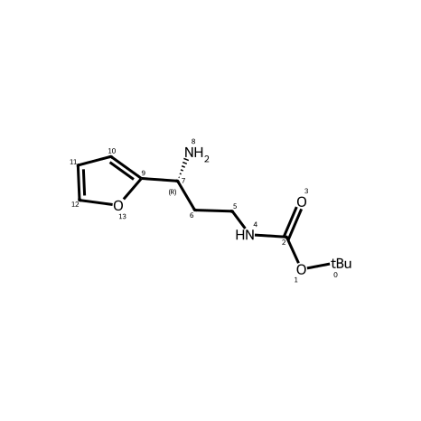 CC(C)(C)OC(=O)NCC[C@@H](N)c1ccco1